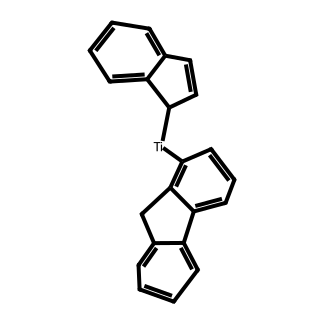 C1=C[CH]([Ti][c]2cccc3c2Cc2ccccc2-3)c2ccccc21